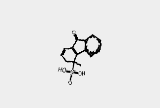 CC1([N+]([O-])(O)O)CC=CC2=C1c1ccccc1C2=O